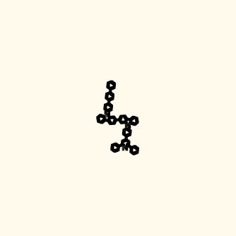 c1ccc(-c2ccc(-c3ccc(-n4c5ccccc5c5ccc(-c6ccc7c8ccccc8n(-c8ccc(-c9cc(-c%10ccccc%10)nc(-c%10ccccc%10)c9)cc8)c7c6)cc54)cc3)cc2)cc1